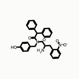 NC(Cc1ccccc1[N+](=O)[O-])C(=O)N(Cc1ccc(O)cc1)C(=O)C(c1ccccc1)c1ccccc1